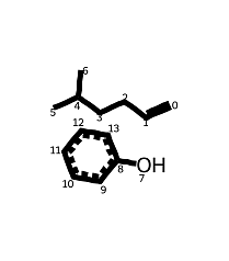 C=CCCC(C)C.Oc1ccccc1